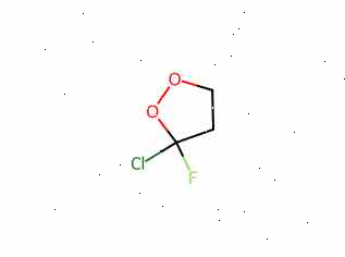 FC1(Cl)CCOO1